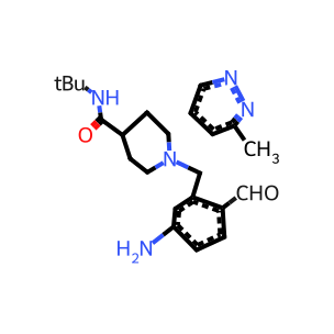 CC(C)(C)NC(=O)C1CCN(Cc2cc(N)ccc2C=O)CC1.Cc1cccnn1